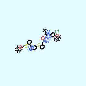 CC(C)[Si](OCCSc1ccccc1-c1nnc2ccc(Sc3ccccc3CNC(=O)Nc3cc(C(C)(C)C)nn3-c3ccc(O[Si](C(C)C)(C(C)C)C(C)C)c(Cl)c3)cn12)(C(C)C)C(C)C